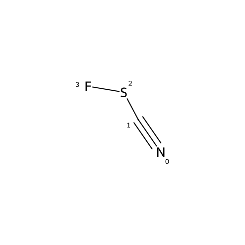 N#CSF